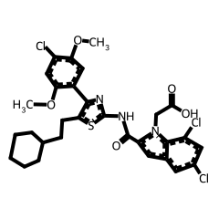 COc1cc(-c2nc(NC(=O)c3cc4cc(Cl)cc(Cl)c4n3CC(=O)O)sc2CCC2CCCCC2)c(OC)cc1Cl